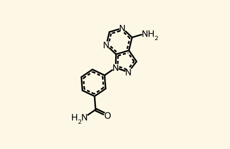 NC(=O)c1cccc(-n2ncc3c(N)ncnc32)c1